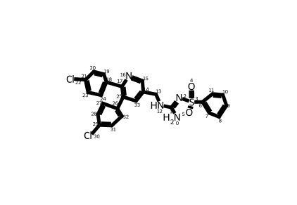 N/C(=N\S(=O)(=O)c1ccccc1)NCc1cnc(-c2ccc(Cl)cc2)c(-c2ccc(Cl)cc2)c1